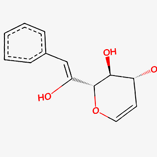 OC(=Cc1ccccc1)[C@H]1OC=C[C@@H](O)[C@@H]1O